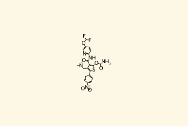 CN(C)Cc1c(-c2ccc([N+](=O)[O-])cc2)sc(OC(N)=O)c1C(=O)Nc1ccc(OC(F)F)cn1